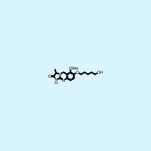 COc1c(OCCCCCO)ccc2c1CN1C(=N2)NC(=O)C1C